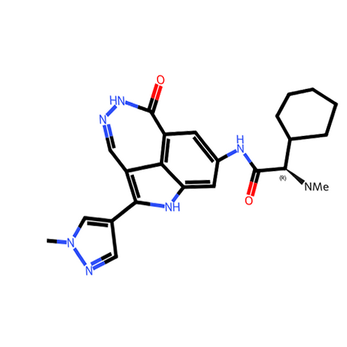 CN[C@@H](C(=O)Nc1cc2c3c(c(-c4cnn(C)c4)[nH]c3c1)C=NNC2=O)C1CCCCC1